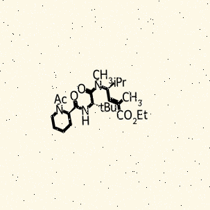 CCOC(=O)/C(C)=C/[C@H](C(C)C)N(C)C(=O)[C@@H](NC(=O)[C@H]1CCCCN1C(C)=O)C(C)(C)C